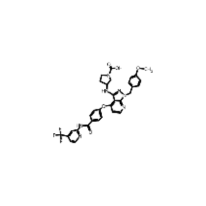 COc1ccc(Cn2nc(NC3CCN(C(=O)O)C3)c3c(Oc4ccc(C(=O)Nc5cc(C(F)(F)F)ccn5)cc4)ccnc32)cc1